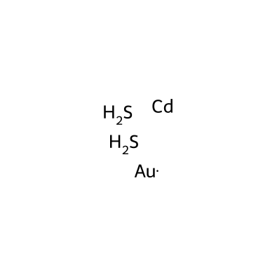 S.S.[Au].[Cd]